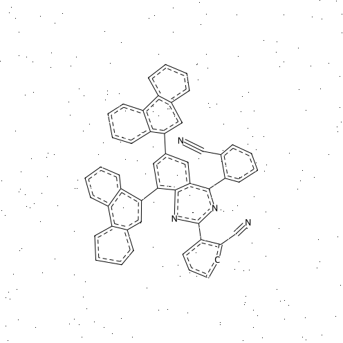 N#Cc1ccccc1-c1nc(-c2ccccc2C#N)c2cc(-c3cc4ccccc4c4ccccc34)cc(-c3cc4ccccc4c4ccccc34)c2n1